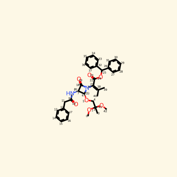 COC(C)(CO[C@H]1[C@@H](NC(=O)Cc2ccccc2)C(=O)N1C(C(=O)OC(c1ccccc1)c1ccccc1)=C(C)C)OC